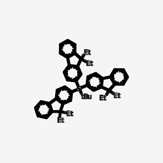 CCC1(CC)c2ccccc2-c2ccc([Si](c3ccc4c(c3)C(CC)(CC)c3ccccc3-4)(c3ccc4c(c3)C(CC)(CC)c3ccccc3-4)C(C)(C)C)cc21